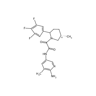 Cc1cc(NC(=O)C(=O)N2C[C@@H](C)CCC2c2cc(F)c(F)c(F)c2)cnc1N